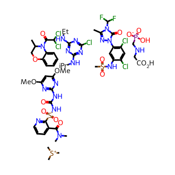 CC1COc2ccccc2N1C(=O)C(Cl)Cl.CCNc1nc(Cl)nc(NC(C)C)n1.COc1cc(OC)nc(NC(=O)NS(=O)(=O)c2ncccc2C(=O)N(C)C)n1.C[S+](C)C.Cc1nn(-c2cc(NS(C)(=O)=O)c(Cl)cc2Cl)c(=O)n1C(F)F.O=C(O)CNCP(=O)([O-])O